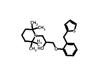 CC1(C)CCCC(C)(C)N1CC(O)COc1ccccc1Cc1cccs1